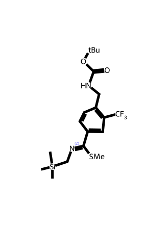 CS/C(=N\C[Si](C)(C)C)c1ccc(CNC(=O)OC(C)(C)C)c(C(F)(F)F)c1